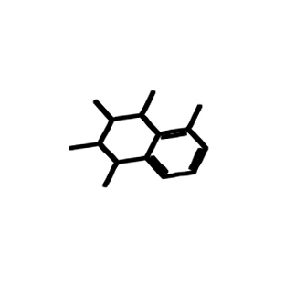 Cc1cccc2c1C(C)C(C)C(C)C2C